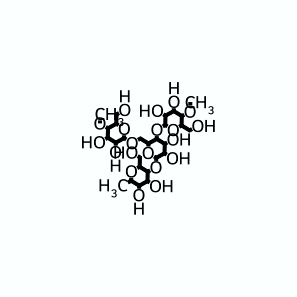 COC1C(CO)OC(OCC2OC(OC3C(CO)OC(C)C(O)C3O)C(O)C(O)C2OC2OC(CO)C(OC)C(O)C2O)C(O)C1O